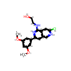 COc1cc(OC)cc(-c2cc3cnc(Cl)cc3c(NCCO)n2)c1